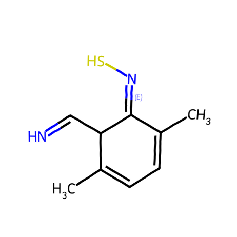 CC1=CC=C(C)C(C=N)/C1=N\S